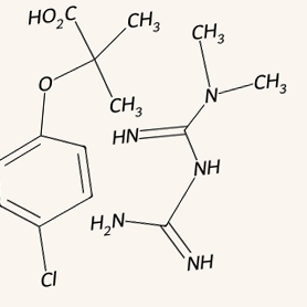 CC(C)(Oc1ccc(Cl)cc1)C(=O)O.CN(C)C(=N)NC(=N)N